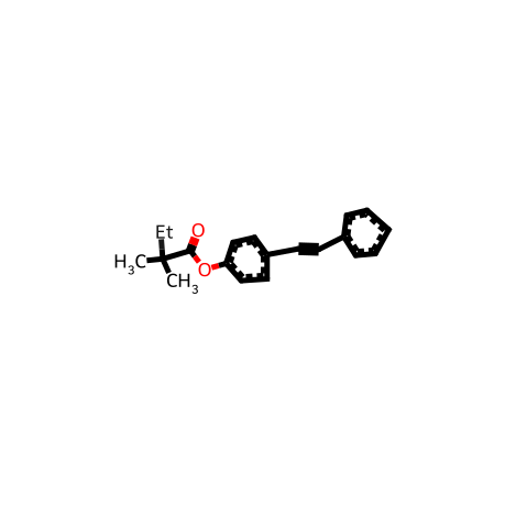 CCC(C)(C)C(=O)Oc1ccc(C#Cc2ccccc2)cc1